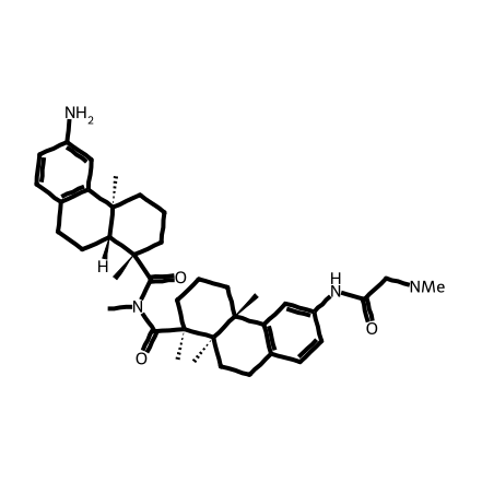 CNCC(=O)Nc1ccc2c(c1)[C@@]1(C)CCC[C@](C)(C(=O)N(C)C(=O)[C@@]3(C)CCC[C@]4(C)c5cc(N)ccc5CC[C@@H]34)[C@]1(C)CC2